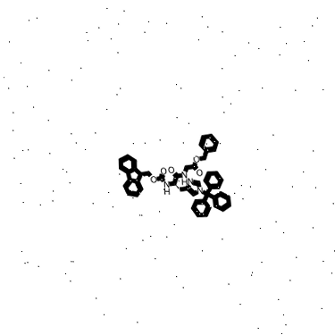 O=C(CNC(=O)[C@H](Cc1cn(C(c2ccccc2)(c2ccccc2)c2ccccc2)cn1)NC(=O)OCC1c2ccccc2-c2ccccc21)OCc1ccccc1